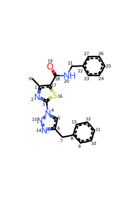 Cc1nc(-n2cc(Cc3ccccc3)nn2)sc1C(=O)NCc1ccccc1